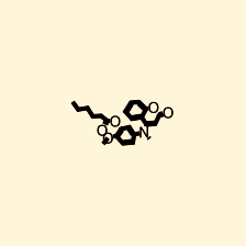 CCCCCC(=O)Oc1cc(N(C)c2cc(=O)oc3ccccc23)ccc1OC